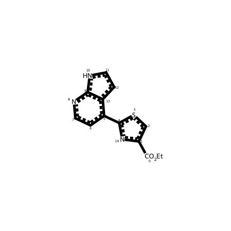 CCOC(=O)c1csc(-c2ccnc3[nH]ccc23)n1